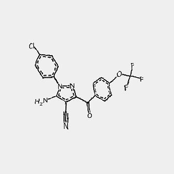 N#Cc1c(C(=O)c2ccc(OC(F)(F)F)cc2)nn(-c2ccc(Cl)cc2)c1N